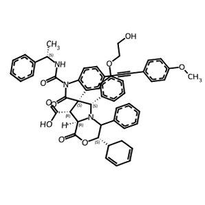 COc1ccc(C#Cc2ccc3c(c2)[C@]2(C(=O)N3C(=O)N[C@@H](C)c3ccccc3)[C@H](c3cccc(OCCO)c3)N3C(c4ccccc4)[C@H](C4C=CC=CC4)OC(=O)[C@H]3[C@@H]2C(=O)O)cc1